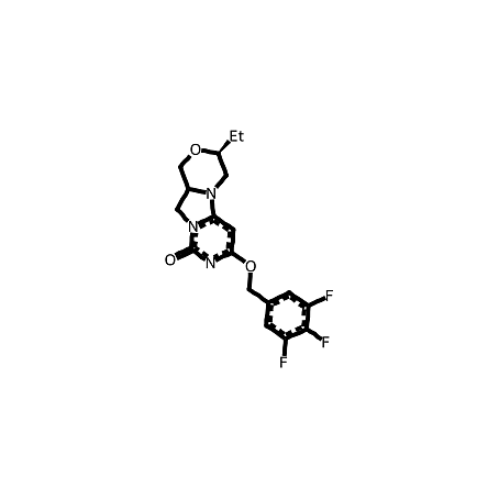 CC[C@H]1CN2c3cc(OCc4cc(F)c(F)c(F)c4)nc(=O)n3CC2CO1